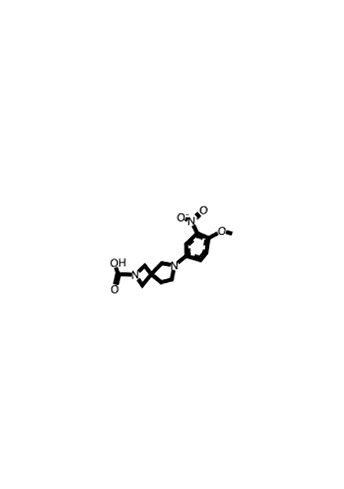 COc1ccc(N2CCC3(CN(C(=O)O)C3)C2)cc1[N+](=O)[O-]